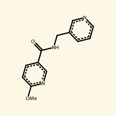 COc1ccc(C(=O)NCc2cccnc2)cn1